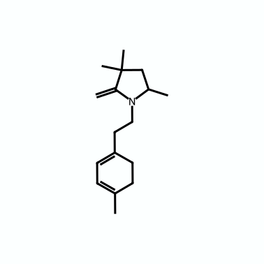 C=C1N(CCC2=CC=C(C)CC2)C(C)CC1(C)C